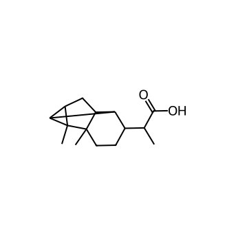 CC(C(=O)O)C1CCC2(C)C3CC4C(C13)C42C